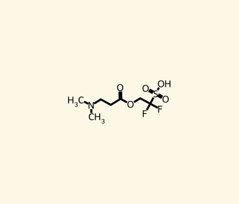 CN(C)CCC(=O)OCC(F)(F)S(=O)(=O)O